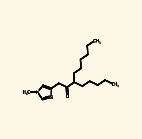 CCCCCCC(CCCCC)C(=O)Cc1cn(C)cn1